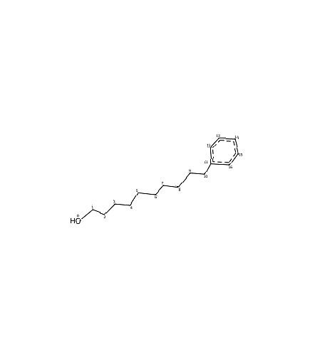 OCCCCCCCCCCc1[c]cccc1